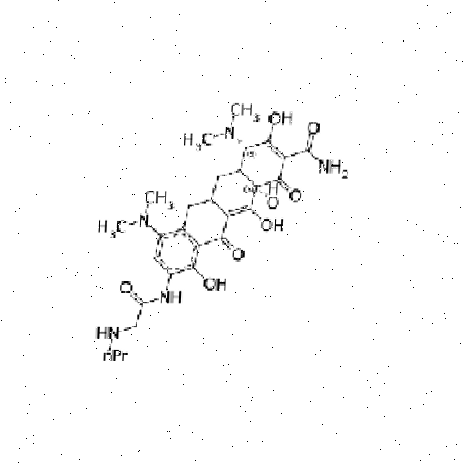 CCCNCC(=O)Nc1cc(N(C)C)c2c(c1O)C(=O)C1=C(O)[C@]3(O)C(=O)C(C(N)=O)=C(O)[C@@H](N(C)C)C3CC1C2